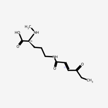 CCC(=O)/C=C/C(=O)NCCC[C@H](NC)C(=O)O